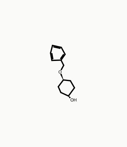 O[C@H]1CC[C@@H](OCc2ccccc2)CC1